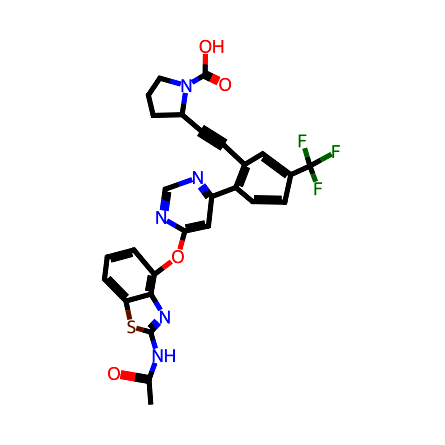 CC(=O)Nc1nc2c(Oc3cc(-c4ccc(C(F)(F)F)cc4C#CC4CCCN4C(=O)O)ncn3)cccc2s1